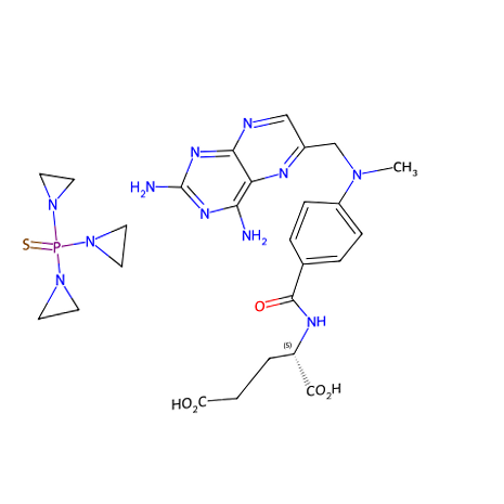 CN(Cc1cnc2nc(N)nc(N)c2n1)c1ccc(C(=O)N[C@@H](CCC(=O)O)C(=O)O)cc1.S=P(N1CC1)(N1CC1)N1CC1